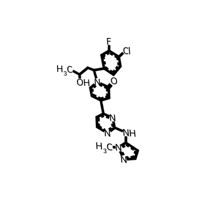 CC(O)CC(c1ccc(Cl)c(F)c1)n1ccc(-c2ccnc(Nc3ccnn3C)n2)cc1=O